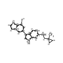 Fc1cc(-c2c[nH]c3nc(NCC4(C(F)(F)F)CC4)ncc23)cn2ccnc12